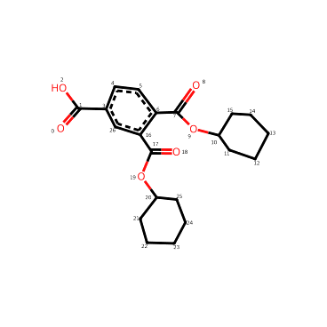 O=C(O)c1ccc(C(=O)OC2CCCCC2)c(C(=O)OC2CCCCC2)c1